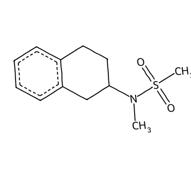 CN(C1CCc2ccccc2C1)S(C)(=O)=O